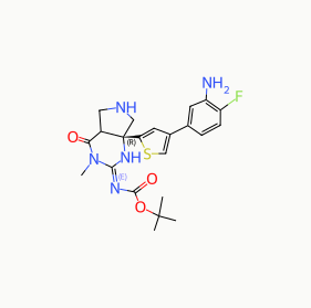 CN1C(=O)C2CNC[C@]2(c2cc(-c3ccc(F)c(N)c3)cs2)N/C1=N\C(=O)OC(C)(C)C